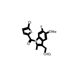 COc1cc2c(CC=O)c(C)n(C(=O)c3ccc(Cl)s3)c2cc1F